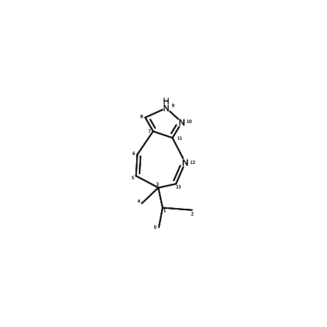 CC(C)C1(C)C=Cc2c[nH]nc2N=C1